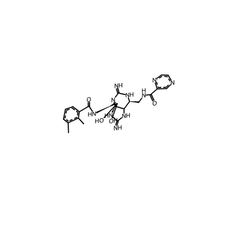 Cc1cccc(C(=O)N[C@H]2CN3C(=N)N[C@@H](CNC(=O)c4cnccn4)C4NC(=N)N[C@@]43C2(O)O)c1C